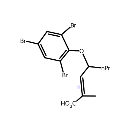 CCCC(/C=C(\C)C(=O)O)Oc1c(Br)cc(Br)cc1Br